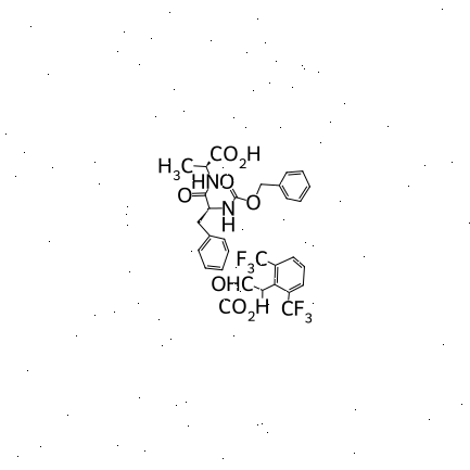 C[C@H](NC(=O)[C@H](Cc1ccccc1)NC(=O)OCc1ccccc1)C(=O)O.O=CC(C(=O)O)c1c(C(F)(F)F)cccc1C(F)(F)F